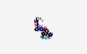 Cc1cc(CC(=O)Nc2ccccc2N2CCN(C(=O)C3(Oc4ccc(C(F)(F)F)cc4)CCCN(C(=O)c4cnccc4C(F)(F)F)C3)CC2)on1